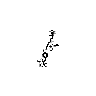 CCCNC(=O)N(CCCCC(F)(F)C(F)(F)F)CCOc1ccc(CC(OCC)C(=O)O)cc1